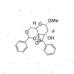 CO[C@H]1O[C@@H]2COC(c3ccccc3)O[C@H]2[C@](O)(C(=O)c2ccccc2)[C@H]1F